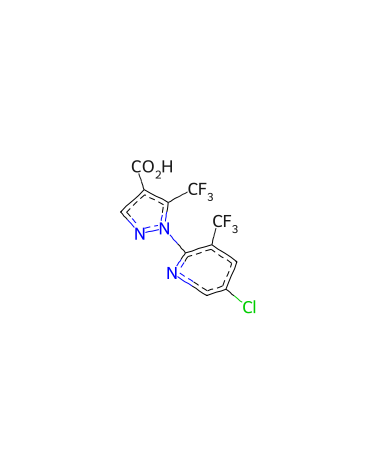 O=C(O)c1cnn(-c2ncc(Cl)cc2C(F)(F)F)c1C(F)(F)F